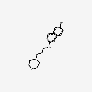 Brc1ccc2nc(NCCCN3CCOCC3)ncc2c1